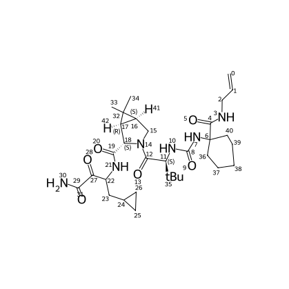 C=CCNC(=O)C1(NC(=O)N[C@H](C(=O)N2C[C@H]3[C@@H]([C@H]2C(=O)NC(CC2CC2)C(=O)C(N)=O)C3(C)C)C(C)(C)C)CCCCC1